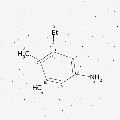 CCc1cc(N)ccc1C.Cl